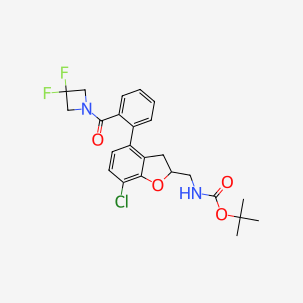 CC(C)(C)OC(=O)NCC1Cc2c(-c3ccccc3C(=O)N3CC(F)(F)C3)ccc(Cl)c2O1